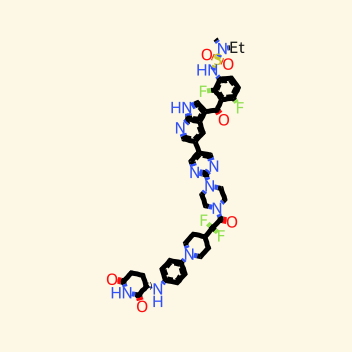 CCN(C)S(=O)(=O)Nc1ccc(F)c(C(=O)c2c[nH]c3ncc(-c4cnc(N5CCN(C(=O)C(F)(F)C6CCN(c7ccc(N[C@H]8CCC(=O)NC8=O)cc7)CC6)CC5)nc4)cc23)c1F